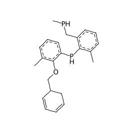 CPCc1cccc(C)c1Pc1cccc(C)c1OCC1C=CC=CC1